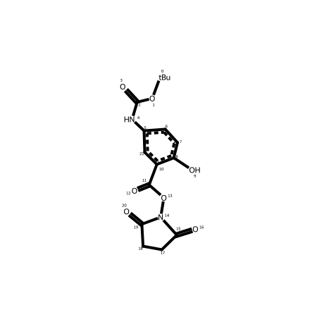 CC(C)(C)OC(=O)Nc1ccc(O)c(C(=O)ON2C(=O)CCC2=O)c1